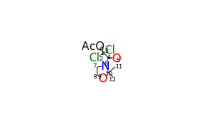 CC(=O)OC(Cl)(Cl)C(=O)N1CCOC1(C)C